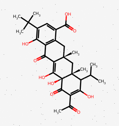 CC(=O)C1=C(O)C(C(C)C)[C@@]2(C)C[C@@]3(C)Cc4c(C(=O)O)cc(C(C)(C)C)c(O)c4C(=O)C3=C(O)[C@@]2(O)C1=O